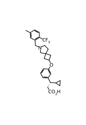 Cc1ccc(C(F)(F)F)c(CN2CCC3(CC(Oc4cccc([C@@H](CC(=O)O)C5CC5)c4)C3)C2)c1